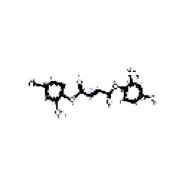 O=C(/C=C/C(=O)Oc1ccc(Cl)cc1C(F)(F)F)Oc1ccc(Cl)cc1C(F)(F)F